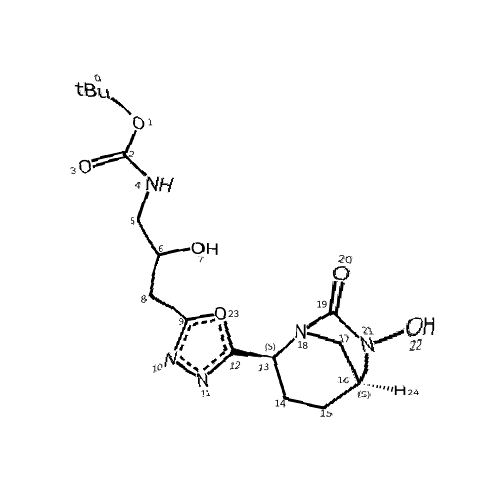 CC(C)(C)OC(=O)NCC(O)Cc1nnc([C@@H]2CC[C@H]3CN2C(=O)N3O)o1